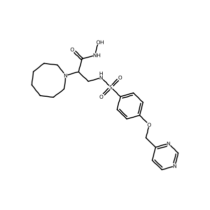 O=C(NO)C(CNS(=O)(=O)c1ccc(OCc2ccncn2)cc1)N1CCCCCCC1